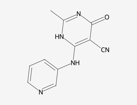 Cc1nc(=O)c(C#N)c(Nc2cccnc2)[nH]1